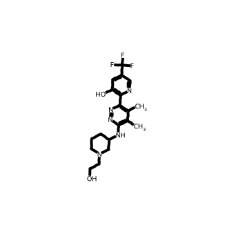 Cc1c(NC2CCCN(CCO)C2)nnc(-c2ncc(C(F)(F)F)cc2O)c1C